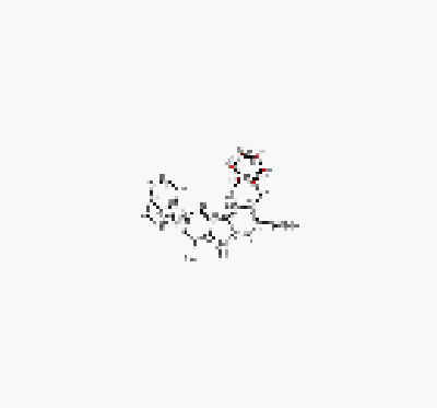 N#Cc1cc2[nH]c3c(Cl)cc(C45CC6CC(CC(C6)C4)C5)cc3c2c2c1C1c3ccccc3C2c2ccccc21